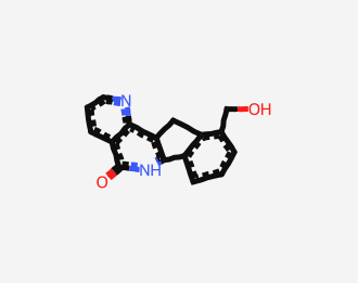 O=c1[nH]c2c(c3ncccc13)Cc1c(CO)cccc1-2